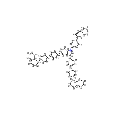 c1ccc2cc(-c3ccc(-n4cc(-c5ccc(-c6ccc(-c7cccc8ccccc78)cc6)cc5)c5cc(-c6ccc(-c7ccc(-c8cccc9ccccc89)cc7)cc6)ccc54)cc3)ccc2c1